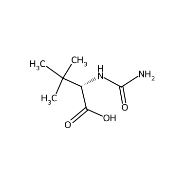 CC(C)(C)[C@H](NC(N)=O)C(=O)O